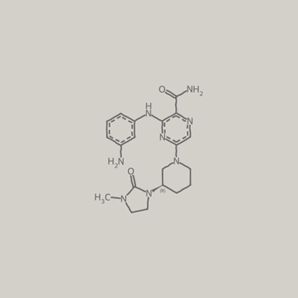 CN1CCN([C@@H]2CCCN(c3cnc(C(N)=O)c(Nc4cccc(N)c4)n3)C2)C1=O